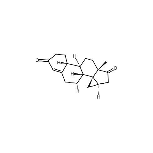 C[C@@H]1CC2=CC(=O)CC[C@@H]2[C@H]2CC[C@]3(C)C(=O)C[C@H]4C[C@]43[C@@H]21